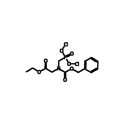 CCOC(=O)CN(CP(=O)(OCl)OCl)C(=O)OCc1ccccc1